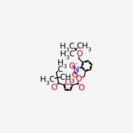 CCC(C)(C)C(=O)c1ccc(C(=O)OCc2cccc(COC(C)(C)C)c2[N+](=O)[O-])o1